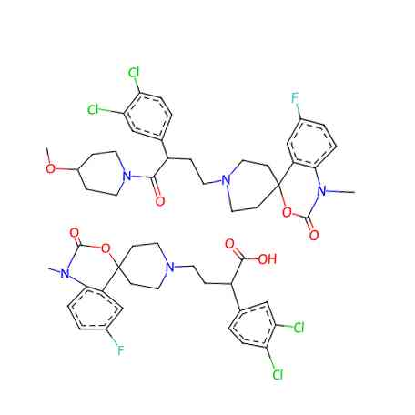 CN1C(=O)OC2(CCN(CCC(C(=O)O)c3ccc(Cl)c(Cl)c3)CC2)c2cc(F)ccc21.COC1CCN(C(=O)C(CCN2CCC3(CC2)OC(=O)N(C)c2ccc(F)cc23)c2ccc(Cl)c(Cl)c2)CC1